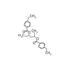 CCc1ccc(C(=O)OC(CC)CC(CC)OC(=O)c2ccc(CC)cc2)cc1